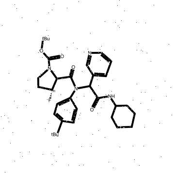 CC(C)(C)OC(=O)N1CC[C@@H](F)C1C(=O)N(c1ccc(C(C)(C)C)cc1)C(C(=O)NC1CCCCC1)c1cccnc1